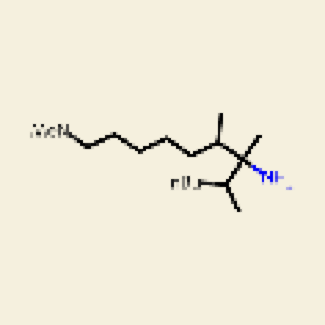 CCCCC(C)C(C)(N)C(C)CCCCCNC